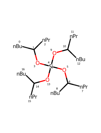 CCCCC(CCC)O[Si](OC(CCC)CCCC)(OC(CCC)CCCC)OC(CCC)CCCC